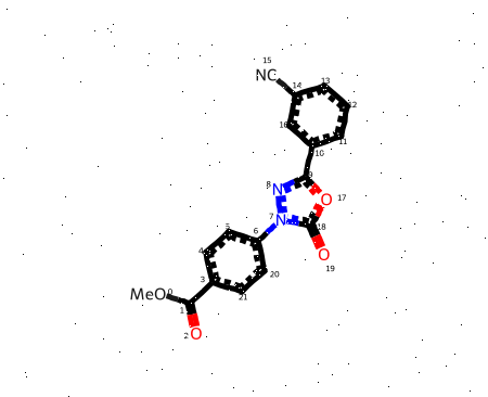 COC(=O)c1ccc(-n2nc(-c3cccc(C#N)c3)oc2=O)cc1